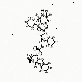 CC1(C)CC(OC(=O)CCN(CCC(=O)OC2CC(C)(C)NC(C)(C)C2CC2CCCCC2)C2CCCCC2)C(CC2CCCCC2)C(C)(C)N1